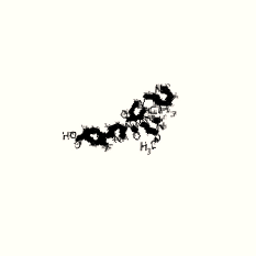 COc1cc(N2C(=O)N(c3ccc(-c4ccc(C(=O)O)cc4F)nc3)C(=O)C23CCN(CC2=C(C)CCC=N2)CC3)ncn1